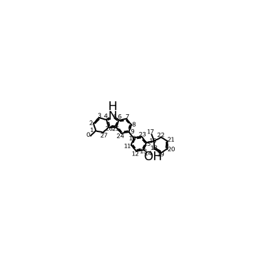 CC1C=Cc2[nH]c3ccc(-c4ccc(O)c(C5(C)C=CC=CC5)c4)cc3c2C1